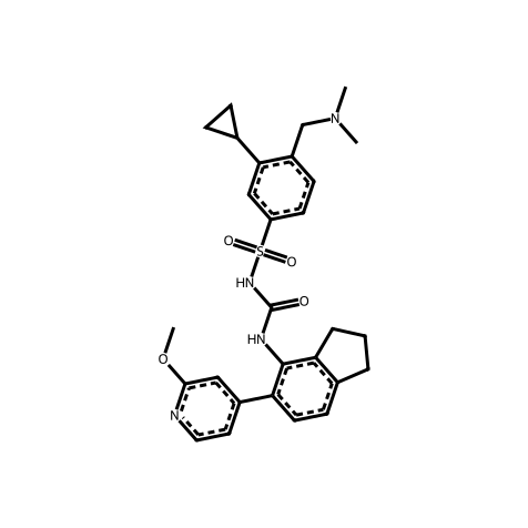 COc1cc(-c2ccc3c(c2NC(=O)NS(=O)(=O)c2ccc(CN(C)C)c(C4CC4)c2)CCC3)ccn1